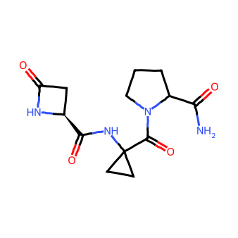 NC(=O)C1CCCN1C(=O)C1(NC(=O)[C@@H]2CC(=O)N2)CC1